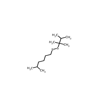 CC(C)CCCCSSC(C)(C)C(C)C